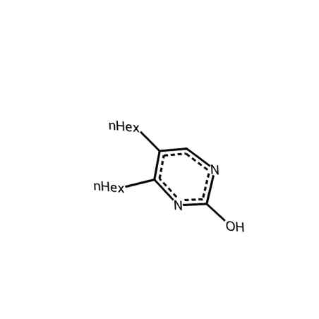 CCCCCCc1cnc(O)nc1CCCCCC